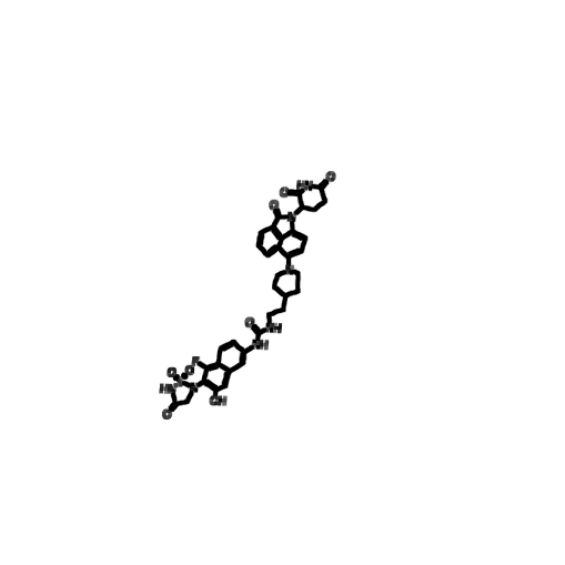 O=C1CCC(N2C(=O)c3cccc4c(N5CCC(CCNC(=O)Nc6ccc7c(F)c(N8CC(=O)NS8(=O)=O)c(O)cc7c6)CC5)ccc2c34)C(=O)N1